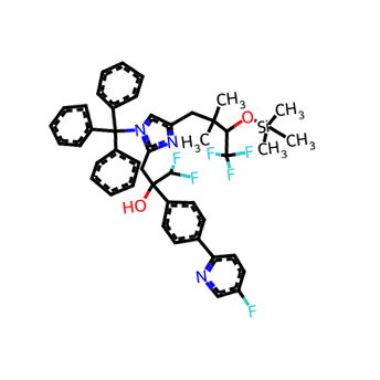 CC(C)(Cc1cn(C(c2ccccc2)(c2ccccc2)c2ccccc2)c(CC(O)(c2ccc(-c3ccc(F)cn3)cc2)C(F)F)n1)C(O[Si](C)(C)C)C(F)(F)F